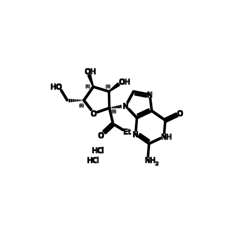 CCC(=O)[C@@]1(n2cnc3c(=O)[nH]c(N)nc32)O[C@H](CO)[C@@H](O)[C@H]1O.Cl.Cl